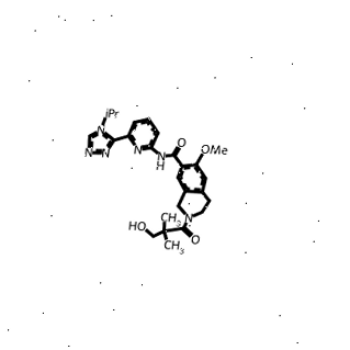 COc1cc2c(cc1C(=O)Nc1cccc(-c3nncn3C(C)C)n1)CN(C(=O)C(C)(C)CO)CC2